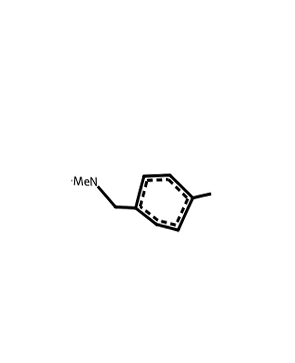 C[N]Cc1ccc(C)cc1